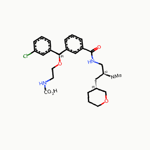 CN[C@H](CNC(=O)c1cccc([C@@H](OCCNC(=O)O)c2cccc(Cl)c2)c1)C[C@H]1CCCOC1